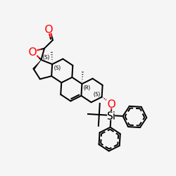 CC(C)(C)[Si](O[C@H]1CC[C@@]2(C)C(=CCC3C2CC[C@@]2(C)C3CC[C@]23OC3C=O)C1)(c1ccccc1)c1ccccc1